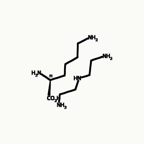 NCCCC[C@H](N)C(=O)O.NCCNCCN